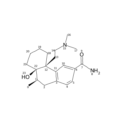 C[C@@H]1Cc2ccc(C(N)=O)cc2[C@@]2(CCN(C)C)CCCC[C@@]12O